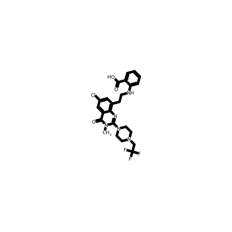 Cn1c(N2CCN(CC(F)(F)F)CC2)nc2c(CCNc3ccccc3C(=O)O)cc(Cl)cc2c1=O